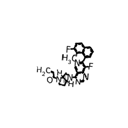 C=CC(=O)N1CC[C@@H]2[C@H]1CN2c1ncnc2c(F)c(-c3cccc4ccc(F)c(C)c34)ncc12